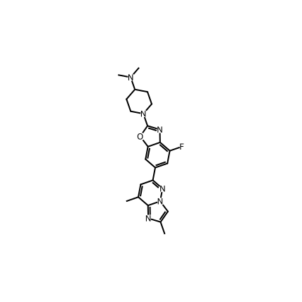 Cc1cn2nc(-c3cc(F)c4nc(N5CCC(N(C)C)CC5)oc4c3)cc(C)c2n1